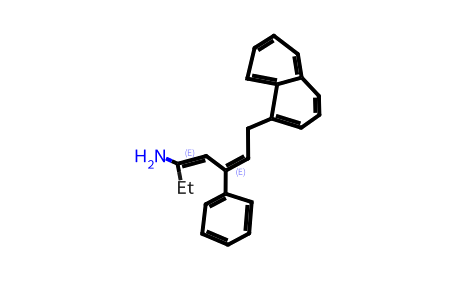 CC/C(N)=C\C(=C/Cc1cccc2ccccc12)c1ccccc1